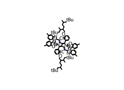 Cc1ccc2c(c1)OB(n1c(-c3cccc(OCC(CCC(C)CC(C)(C)C)C(C)CC(C)(C)C)c3)c3/c(=C(\C#N)c4nc5cc(C)ccc5o4)n(B4Oc5ccc(C)cc5O4)c(-c4cccc(OCC(CCC(C)CC(C)(C)C)C(C)CC(C)(C)C)c4)c3/c1=C(\C#N)c1nc3cc(C)ccc3o1)O2